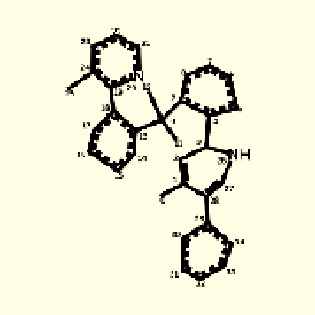 CC1=CC(c2ccccc2C(C)(C)c2ccccc2-c2ncccc2C)NC=C1c1ccccc1